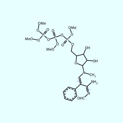 COOP(=O)(OCC1OC(N(C)/C=C(\C(N)=N/C=O)c2ccccc2)C(O)C1O)OP(=O)(OOC)OP(=O)(OOC)OOC